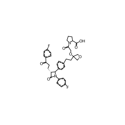 O=C(CC[C@H]1C(=O)N(c2ccc(F)cc2)C1c1ccc(CCC2(OCC(=O)N3CCCC3C(=O)O)COC2)cc1)c1ccc(F)cc1